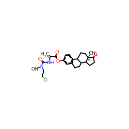 C[C@H](NC(=O)N(CCCl)N=O)C(=O)Oc1ccc2c(c1)CCC1C2CC[C@]2(C)C(=O)CCC12